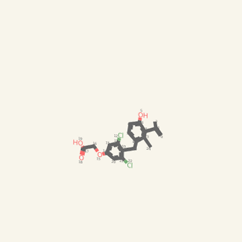 C=C(C)c1c(O)ccc(Cc2c(Cl)cc(OCC(=O)O)cc2Cl)c1C